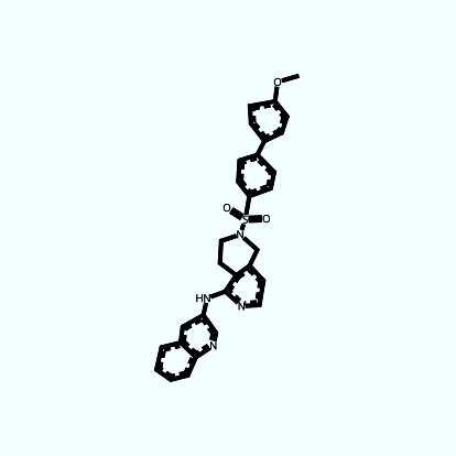 COc1ccc(-c2ccc(S(=O)(=O)N3CCc4c(ccnc4Nc4cnc5ccccc5c4)C3)cc2)cc1